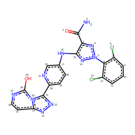 NC(=O)c1nn(-c2c(Cl)cccc2Cl)nc1Nc1ccc(-c2nnc3ccnc(O)n23)nc1